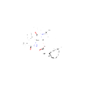 CC(=O)N[C@@]1([SiH](C)C)C(=O)N(C(C)(C)C)[C@H]1OC(C)=O.c1cc2cc-2c1